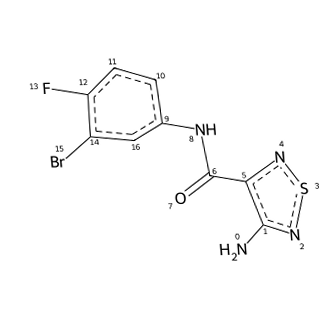 Nc1nsnc1C(=O)Nc1ccc(F)c(Br)c1